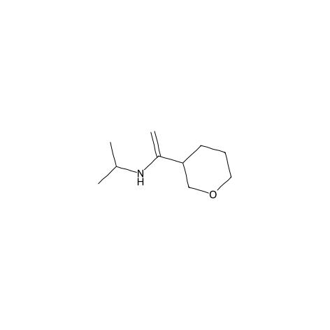 C=C(NC(C)C)C1CCCOC1